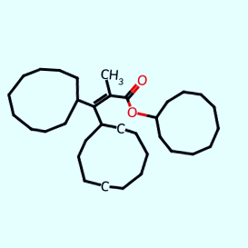 CC(C(=O)OC1CCCCCCCCC1)=C(C1CCCCCCCCC1)C1CCCCCCCCC1